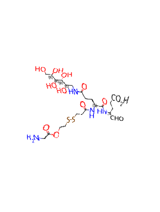 NCC(=O)OCCSSCCC(=O)N[C@@H](CCC(=O)NC[C@H](O)[C@@H](O)[C@H](O)[C@H](O)CO)C(=O)N[C@H](C=O)CCC(=O)O